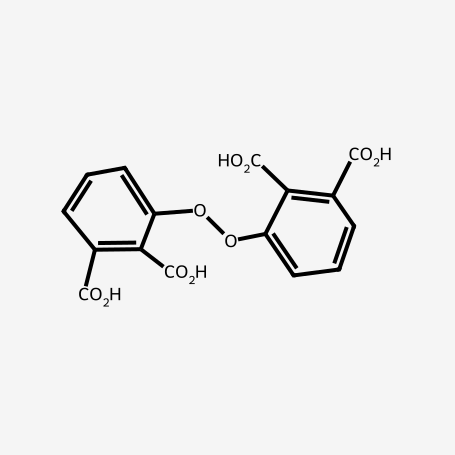 O=C(O)c1cccc(OOc2cccc(C(=O)O)c2C(=O)O)c1C(=O)O